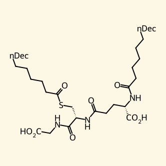 CCCCCCCCCCCCCCCC(=O)N[C@@H](CCC(=O)N[C@@H](CSC(=O)CCCCCCCCCCCCCCC)C(=O)NCC(=O)O)C(=O)O